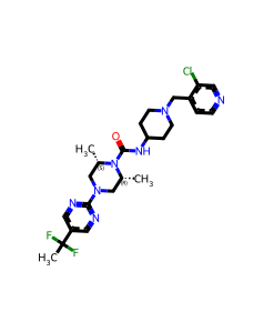 C[C@@H]1CN(c2ncc(C(C)(F)F)cn2)C[C@H](C)N1C(=O)NC1CCN(Cc2ccncc2Cl)CC1